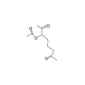 CC(=O)CCCC(OC(C)=O)C(C)=O